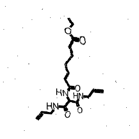 C=CCNC(=O)C(NC(=O)CCCCCC(=O)OCC)C(=O)NCC=C